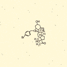 CC(=O)[C@@]1(O)CC[C@H]2[C@@H]3CC=C4CC(O)CC(OCc5ccc(Br)cc5)[C@]4(C)[C@H]3CC[C@@]21C